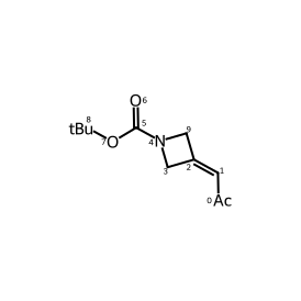 CC(=O)C=C1CN(C(=O)OC(C)(C)C)C1